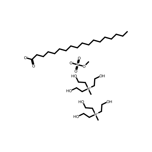 CCCCCCCCCCCCCCCCCC(=O)[O-].COS(=O)(=O)[O-].C[N+](CCO)(CCO)CCO.C[N+](CCO)(CCO)CCO